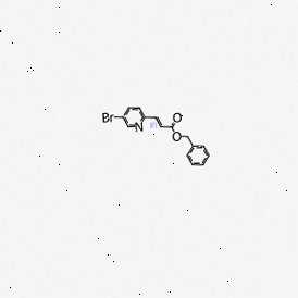 O=C(/C=C/c1ccc(Br)cn1)OCc1ccccc1